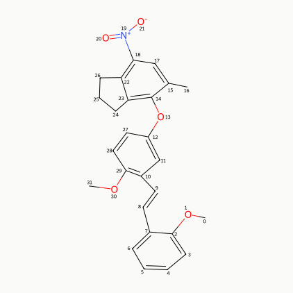 COc1ccccc1C=Cc1cc(Oc2c(C)cc([N+](=O)[O-])c3c2CCC3)ccc1OC